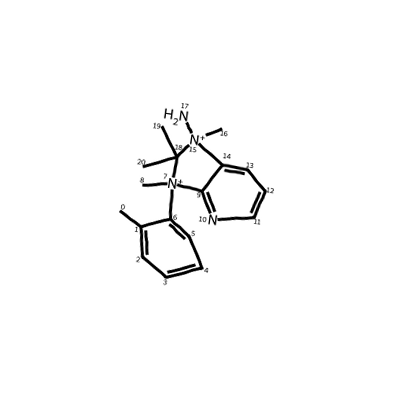 Cc1ccccc1[N+]1(C)c2ncccc2[N+](C)(N)C1(C)C